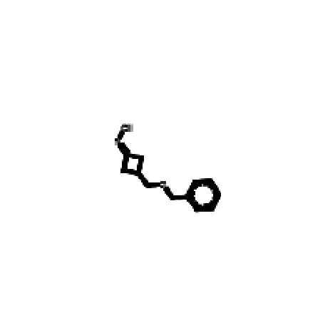 ON=C1CC(COCc2ccccc2)C1